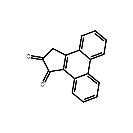 O=C1Cc2c(c3ccccc3c3ccccc23)C1=O